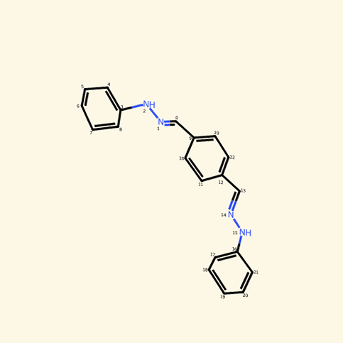 C(=NNc1ccccc1)c1ccc(C=NNc2ccccc2)cc1